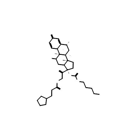 CCCCCOC(=O)O[C@]1(C(=O)COC(=O)CCC2CCCC2)CC[C@H]2[C@@H]3C[C@H](F)C4=CC(=O)C=C[C@]4(C)[C@H]3C(O)C[C@@]21C